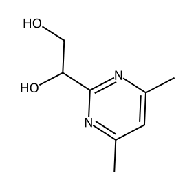 Cc1cc(C)nc(C(O)CO)n1